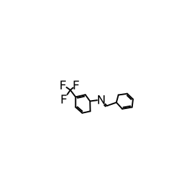 FC(F)(F)C1=CC(/N=C/C2C=CC=CC2)CC=C1